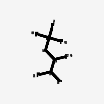 [CH2]C(F)C(F)CC(F)(F)F